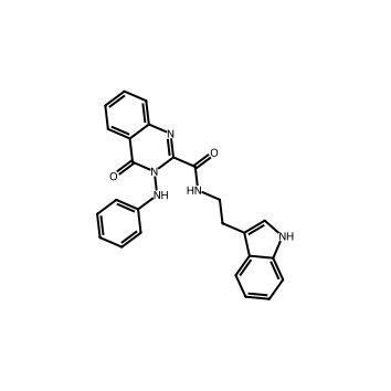 O=C(NCCc1c[nH]c2ccccc12)c1nc2ccccc2c(=O)n1Nc1ccccc1